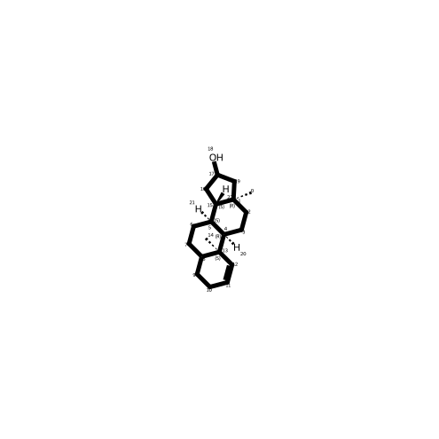 C[C@]12CC[C@@H]3[C@@H](CCC4CCC=C[C@@]43C)[C@@H]1CC(O)C2